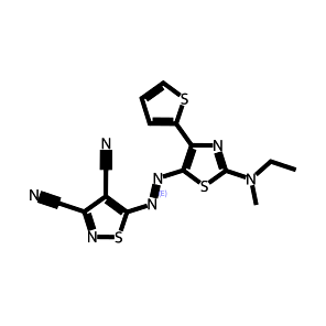 CCN(C)c1nc(-c2cccs2)c(/N=N/c2snc(C#N)c2C#N)s1